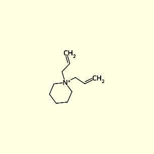 C=CC[N+]1(CC=C)CCCCC1